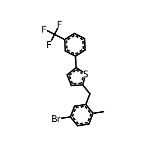 Cc1ccc(Br)cc1Cc1ccc(-c2cccc(C(F)(F)F)c2)s1